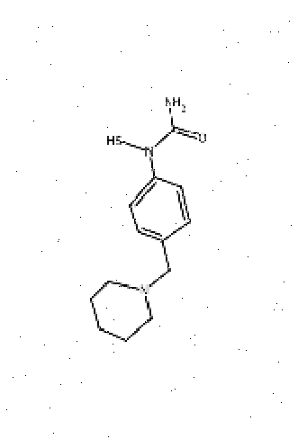 NC(=O)N(S)c1ccc(CN2CCCCC2)cc1